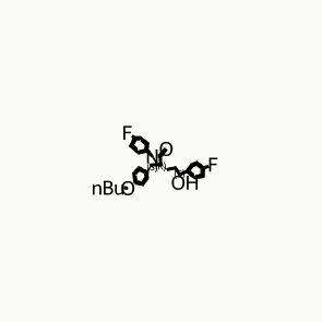 CCCCOc1ccc([C@@H]2[C@@H](CC[C@H](O)c3ccc(F)cc3)C(=O)N2c2ccc(F)cc2)cc1